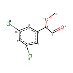 COC(C=O)c1cc(Cl)cc(Cl)c1